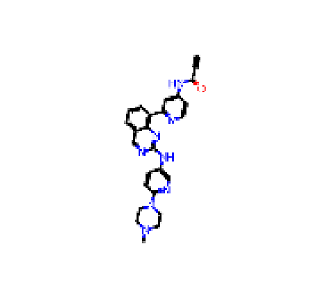 C#CC(=O)Nc1ccnc(-c2cccc3cnc(Nc4ccc(N5CCN(C)CC5)nc4)nc23)c1